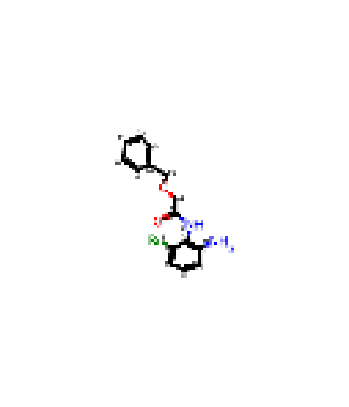 Nc1cccc(Br)c1NC(=O)COCc1ccccc1